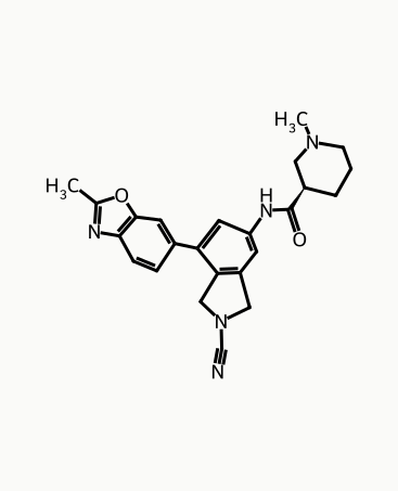 Cc1nc2ccc(-c3cc(NC(=O)[C@@H]4CCCN(C)C4)cc4c3CN(C#N)C4)cc2o1